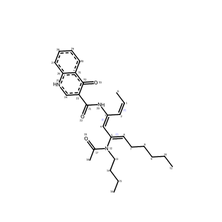 C\C=C/C(=C\C(=C\CCCCC)N(CCCC)C(C)=O)NC(=O)c1c[nH]c2ccccc2c1=O